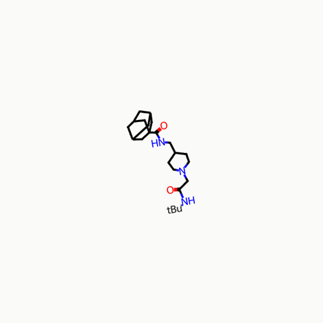 CC(C)(C)NC(=O)CN1CCC(CNC(=O)C23CC4CC(CC(C4)C2)C3)CC1